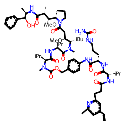 C=Cc1cc(C)nc(CCC(=O)N[C@H](C(=O)N[C@@H](CCCNC(N)=O)C(=O)Nc2ccc(COC(=O)N(C)[C@H](C(=O)N[C@H](C(=O)N(C)C([C@@H](C)CC)[C@@H](CC(=O)N3CCC[C@H]3[C@H](OC)[C@@H](C)C(=O)N[C@H](C)[C@@H](O)c3ccccc3)OC)C(C)C)C(C)C)cc2)C(C)C)c1